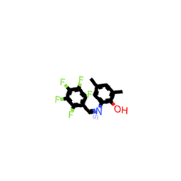 Cc1cc(C)c(O)c(/N=C\c2c(F)c(F)c(F)c(F)c2F)c1